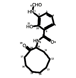 O=CNc1cccc(C(=O)NC2CCCCCCCC2=O)c1O